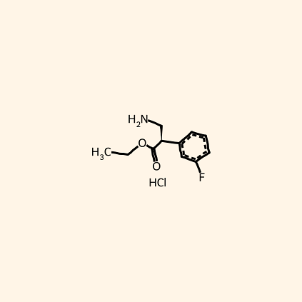 CCOC(=O)[C@@H](CN)c1cccc(F)c1.Cl